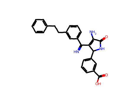 N=C(C1=C(N)C(=O)NC1c1cccc(C(=O)O)c1)c1cccc(CCc2ccccc2)c1